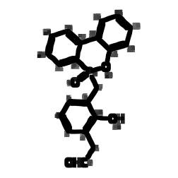 O=CCc1cccc(CP2(=O)Oc3ccccc3-c3ccccc32)c1O